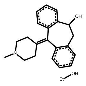 CCO.CN1CCC(=C2c3ccccc3CC(O)c3ccccc32)CC1